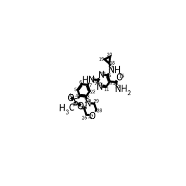 CS(=O)(=O)c1ccc(Nc2ncc(C(N)=O)c(NC3CC3)n2)cc1N1CCOCC1